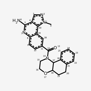 Cn1ncc2c(N)nc3ccc(C(=O)N4CCOC5CCc6ccccc6C54)cc3c21